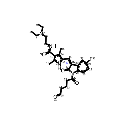 CCN(CC)CCNC(=O)c1c(C)[nH]c(/C=C2\C(=O)N(C(=O)CCCC=O)c3ccc(F)cc32)c1C